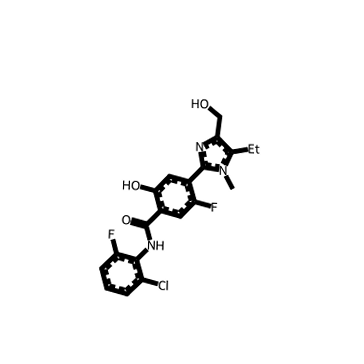 CCc1c(CO)nc(-c2cc(O)c(C(=O)Nc3c(F)cccc3Cl)cc2F)n1C